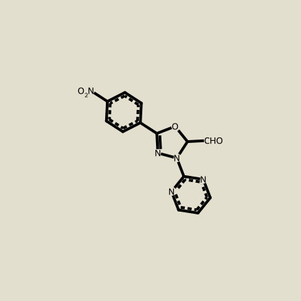 O=CC1OC(c2ccc([N+](=O)[O-])cc2)=NN1c1ncccn1